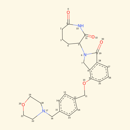 O=C1CCCC(N2Cc3c(OCc4ccc(CN5CCOCC5)cc4)cccc3C2=O)C(=O)N1